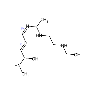 CNC(O)/C=N/C=N\C(C)NCCNCO